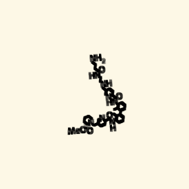 COC(=O)[C@@H]1CCCCN1Cc1ccc(C(=O)Nc2cccc(-c3cccc(NC(=O)c4ccc(CNCCNC(=O)CCCN)cn4)c3C)c2C)nc1